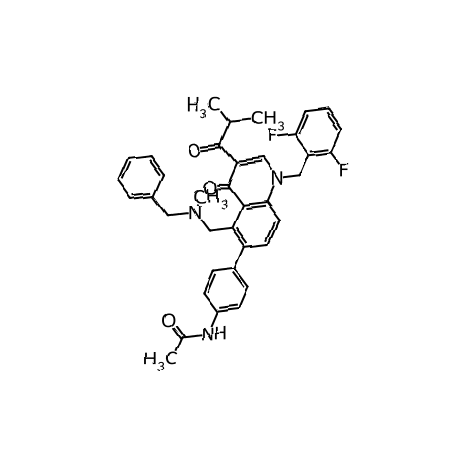 CC(=O)Nc1ccc(-c2ccc3c(c2CN(C)Cc2ccccc2)c(=O)c(C(=O)C(C)C)cn3Cc2c(F)cccc2F)cc1